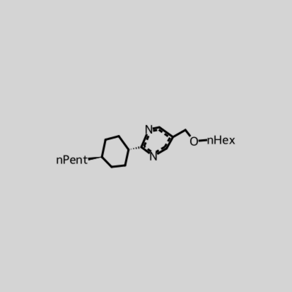 CCCCCCOCc1cnc([C@H]2CC[C@H](CCCCC)CC2)nc1